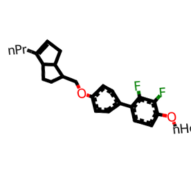 CCCCCCOc1ccc(-c2ccc(OCC3CCC4C(CCC)=CCC34)cc2)c(F)c1F